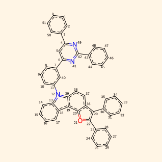 c1ccc(-c2cc(-c3cccc(-n4c5ccccc5c5c6oc(-c7ccccc7)c(-c7ccccc7)c6ccc54)c3)nc(-c3ccccc3)n2)cc1